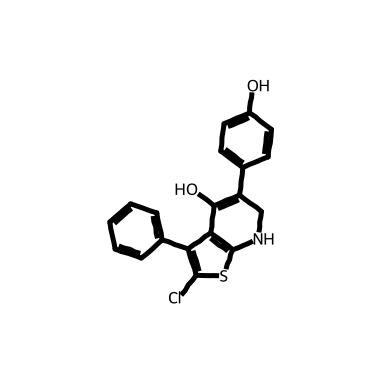 OC1=C(c2ccc(O)cc2)CNc2sc(Cl)c(-c3ccccc3)c21